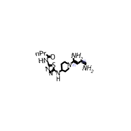 CCCC(=O)Nc1nnc(NC2CCN(/C(N)=C/C=C\N)CC2)s1